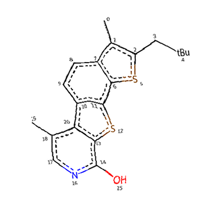 Cc1c(CC(C)(C)C)sc2c1ccc1c2sc2c(O)ncc(C)c21